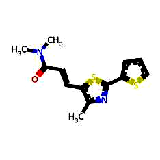 Cc1nc(-c2cccs2)sc1C=CC(=O)N(C)C